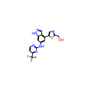 OCc1ncc(-c2cc(Nc3nccc(C(F)(F)F)n3)cc3[nH]ncc23)s1